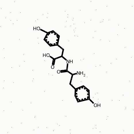 NC(Cc1ccc(O)cc1)C(=O)NC(Cc1ccc(O)cc1)C(=O)O